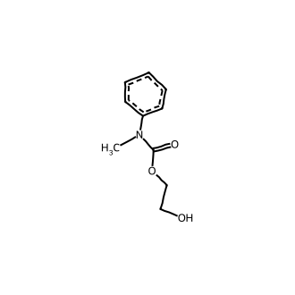 CN(C(=O)OCCO)c1ccccc1